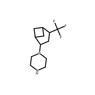 FC(F)(F)C1CC(N2CCNCC2)C2CC1C2